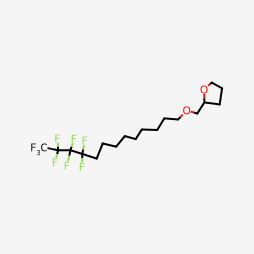 FC(F)(F)C(F)(F)C(F)(F)C(F)(F)CCCCCCCCCOCC1CCCO1